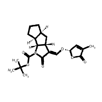 CC1=C[C@@H](O/C=C2/C(=O)N(C(=O)OC(C)(C)C)[C@@H]3[C@H]4CCC[C@H]4C[C@H]23)OC1=O